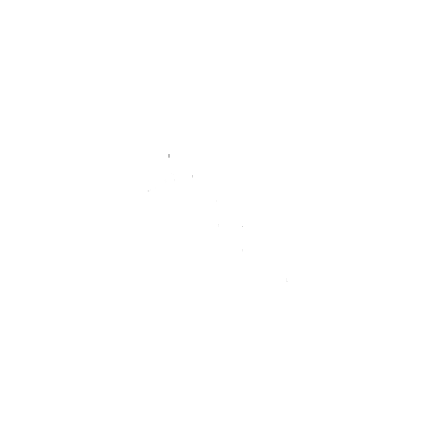 C/C=C/CC/C=C/C=C/C(=O)C(C)C